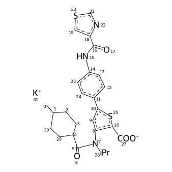 CC1CCC(C(=O)N(c2cc(-c3ccc(NC(=O)c4cscn4)cc3)sc2C(=O)[O-])C(C)C)CC1.[K+]